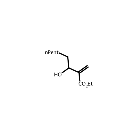 C=C(C(=O)OCC)C(O)CCCCCC